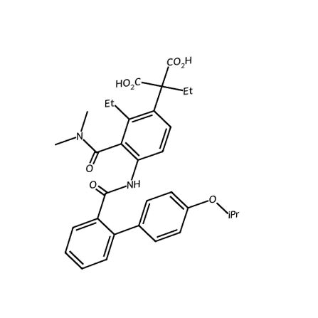 CCc1c(C(CC)(C(=O)O)C(=O)O)ccc(NC(=O)c2ccccc2-c2ccc(OC(C)C)cc2)c1C(=O)N(C)C